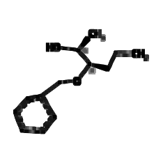 C=CC[C@@H](OCc1ccccc1)[C@H](C)O